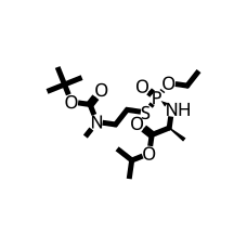 CCO[P@](=O)(N[C@@H](C)C(=O)OC(C)C)SCCN(C)C(=O)OC(C)(C)C